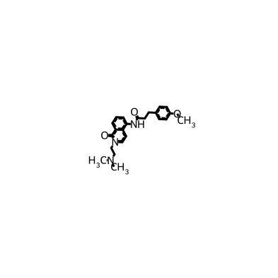 COc1ccc(CCC(=O)Nc2cccc3c(=O)n(CCN(C)C)ccc23)cc1